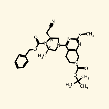 CSc1nc2c(c(N3C[C@H](CC#N)N(C(=O)OCc4ccccc4)[C@H](C)C3)n1)CCN(C(=O)OC(C)(C)C)C2